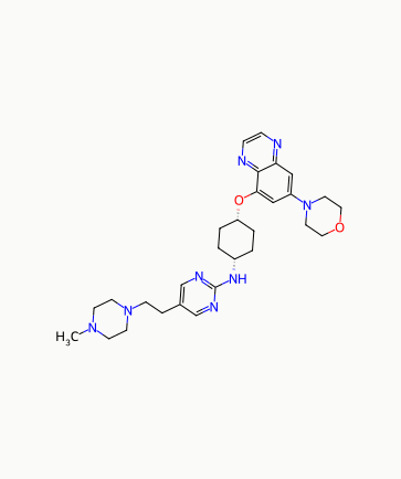 CN1CCN(CCc2cnc(N[C@H]3CC[C@@H](Oc4cc(N5CCOCC5)cc5nccnc45)CC3)nc2)CC1